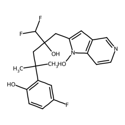 CC(C)(CC(O)(Cc1cc2cnccc2n1O)C(F)F)c1cc(F)ccc1O